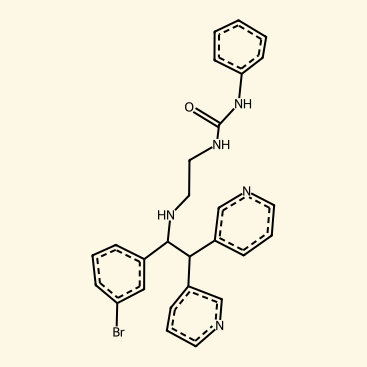 O=C(NCCNC(c1cccc(Br)c1)C(c1cccnc1)c1cccnc1)Nc1ccccc1